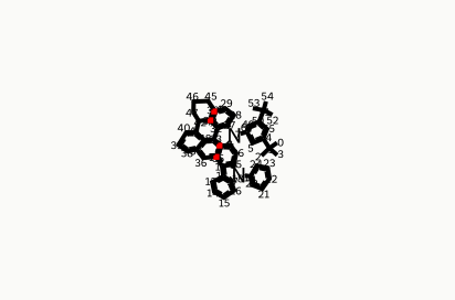 CC(C)(C)c1cc(N(c2ccc3c4ccccc4n(-c4ccccc4)c3c2)c2ccccc2-c2cccc3cccc(C4CCCCC4)c23)cc(C(C)(C)C)c1